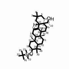 C[C@@H](O)[C@]12CCC(C)(C)C[C@H]1C1=CCC3[C@@]4(C)CCC(O[Si](C)(C)C(C)(C)C)C(C)(C)C4CC[C@@]3(C)[C@@]1(C)CC2